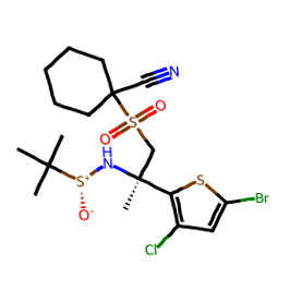 CC(C)(C)[S@@+]([O-])N[C@@](C)(CS(=O)(=O)C1(C#N)CCCCC1)c1sc(Br)cc1Cl